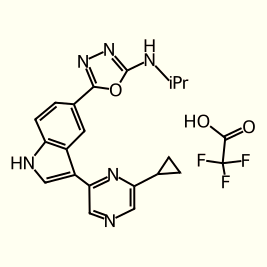 CC(C)Nc1nnc(-c2ccc3[nH]cc(-c4cncc(C5CC5)n4)c3c2)o1.O=C(O)C(F)(F)F